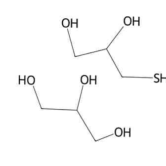 OCC(O)CO.OCC(O)CS